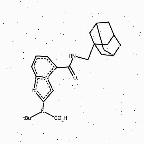 CC(C)(C)N(C(=O)O)c1cn2c(C(=O)NCC34CC5CC(CC(C5)C3)C4)cccc2n1